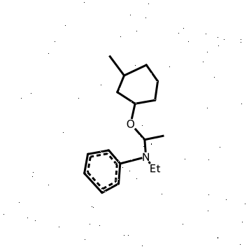 CCN(c1ccccc1)C(C)OC1CCCC(C)C1